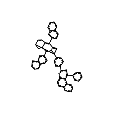 C1=CC2CC3C1=C(c1ccc4ccccc4c1)C1=CC2(c2ccc(-c4cc(-c5ccccc5)c5c(ccc6ccccc65)n4)cc2)C1C3c1ccc2ccccc2c1